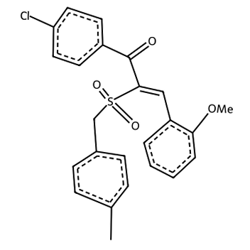 COc1ccccc1C=C(C(=O)c1ccc(Cl)cc1)S(=O)(=O)Cc1ccc(C)cc1